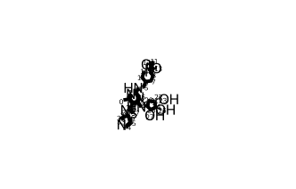 Cc1nc(NCC2CCN(S(C)(=O)=O)CC2)nc(N[C@@H]2C[C@H](CO)[C@@H](O)[C@H]2O)c1-c1nc2cnccc2s1